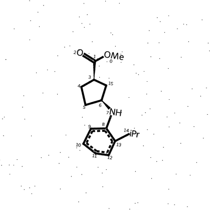 COC(=O)[C@@H]1CC[C@H](Nc2ccccc2C(C)C)C1